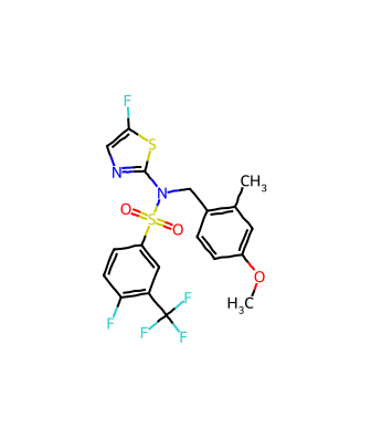 COc1ccc(CN(c2ncc(F)s2)S(=O)(=O)c2ccc(F)c(C(F)(F)F)c2)c(C)c1